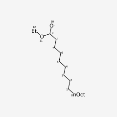 CCCCCCCCCCCCCCCCC([O])OCC